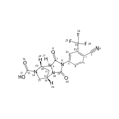 N#Cc1ccc(N2C(=O)[C@@H]3[C@@H]4C[C@@H](CN4C(=O)O)N3C2=O)cc1C(F)(F)F